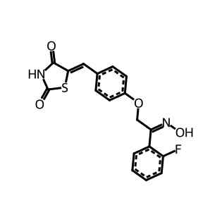 O=C1NC(=O)/C(=C/c2ccc(OCC(=NO)c3ccccc3F)cc2)S1